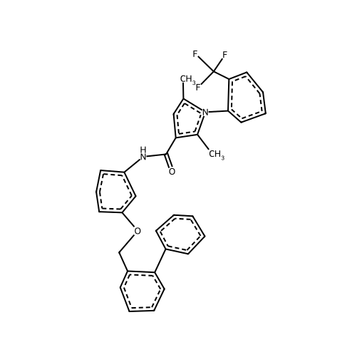 Cc1cc(C(=O)Nc2cccc(OCc3ccccc3-c3ccccc3)c2)c(C)n1-c1ccccc1C(F)(F)F